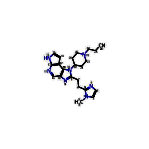 Cn1ccnc1CCc1nc2cnc3[nH]ccc3c2n1C1CCN(CCC#N)CC1